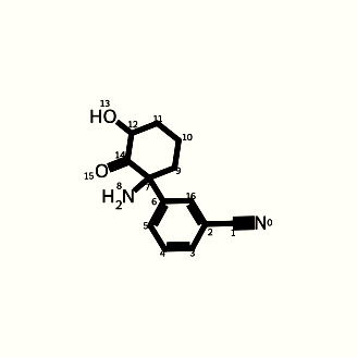 N#Cc1cccc(C2(N)CCCC(O)C2=O)c1